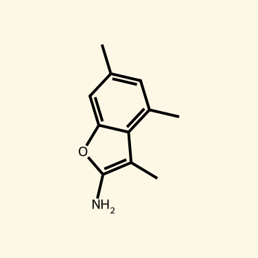 Cc1cc(C)c2c(C)c(N)oc2c1